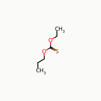 CCCOC(=S)OCC